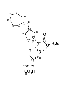 CC(C)(C)OC(=O)N(c1ccc(C=CC(=O)O)cn1)[C@@H]1CCN(CC2CCCCCC2)C1